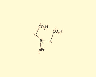 CCCB(CC(=O)O)CC(=O)O